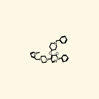 Cn1cccc1CN1CCN(c2cnn(-c3ccccc3)c(=O)c2OC2CCN(Cc3ccccc3)CC2)CC1